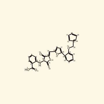 O=C(O)c1ccccc1NN1C(=O)C(=Cc2ccc(-c3ccccc3OCc3ccccc3)o2)SC1=S